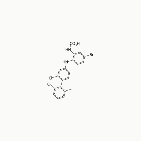 Cc1cccc(Cl)c1-c1ccc(Nc2ccc(Br)cc2NC(=O)O)cc1Cl